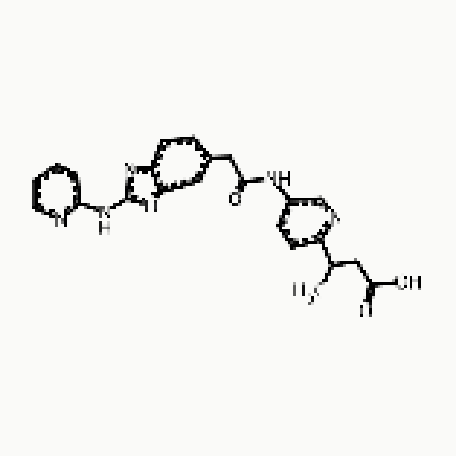 CC(CC(=O)O)c1ccc(NC(=O)Cc2ccc3nc(Nc4ccccn4)oc3c2)cn1